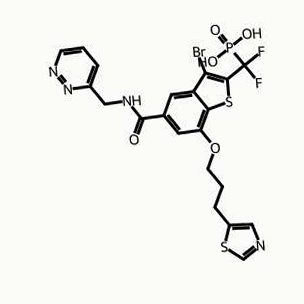 O=C(NCc1cccnn1)c1cc(OCCCc2cncs2)c2sc(C(F)(F)P(=O)(O)O)c(Br)c2c1